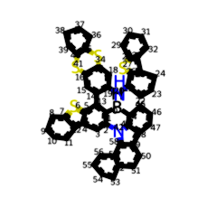 B1c2c(cc3c(sc4ccccc43)c2-c2cc3c(cc2Nc2cccc4c2sc2ccccc24)Sc2ccccc2S3)-n2c3c1cccc3c1ccc3ccccc3c12